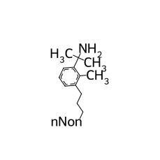 CCCCCCCCCCCCc1cccc(C(C)(C)N)c1C